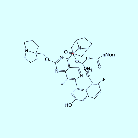 C#Cc1c(F)ccc2cc(O)cc(-c3ncc4c(N5CC6CCC(C5)N6C(=O)OC(C)OC(=O)CCCCCCCCC)nc(OCC56CCCN5CCC6)nc4c3F)c12